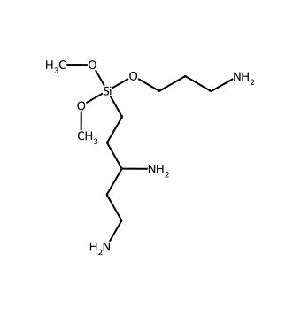 CO[Si](CCC(N)CCN)(OC)OCCCN